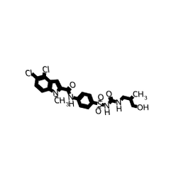 CC(CO)CNC(=O)NS(=O)(=O)c1ccc(NC(=O)c2cc3c(Cl)c(Cl)ccc3n2C)cc1